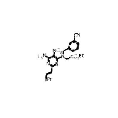 CCC/C=C/c1nc(N)c([N+](=O)[O-])c(N(CC(=O)OCC)Cc2cccc(C#N)c2)n1